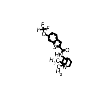 CC1(C)C(NC(=O)c2cc3ccc(OC(F)(F)F)cc3s2)C2CCN1CC2